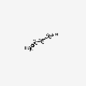 O=C(CCCCC(=O)OCCOC(=O)c1ccc(C(=O)O)cc1)OCCO